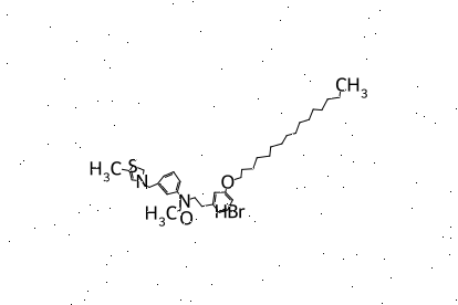 Br.CCCCCCCCCCCCCCCCOc1cccc(CCN(C(C)=O)c2cccc(CN3C=C(C)SC3)c2)c1